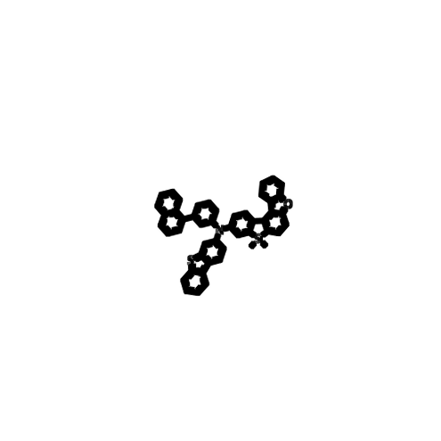 C[Si]1(C)c2cc(N(c3cccc(-c4cccc5ccccc45)c3)c3ccc4c(c3)sc3ccccc34)ccc2-c2c1ccc1oc3ccccc3c21